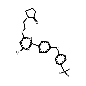 Cc1cc(OCCN2CCCC2=O)nc(-c2ccc(Oc3ccc(C(F)(F)F)cc3)cc2)n1